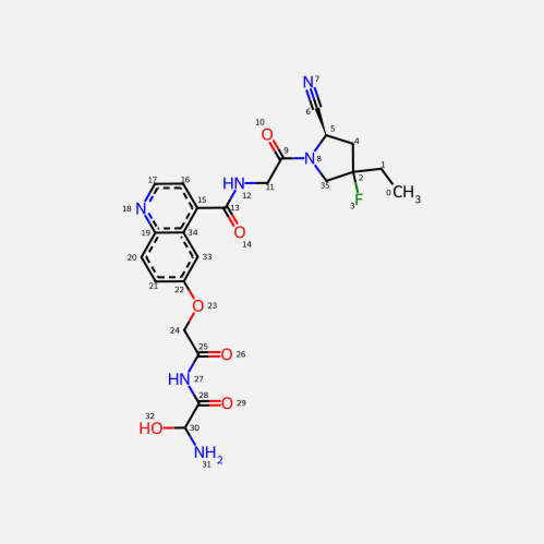 CCC1(F)C[C@H](C#N)N(C(=O)CNC(=O)c2ccnc3ccc(OCC(=O)NC(=O)C(N)O)cc23)C1